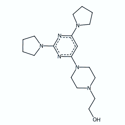 OCCN1CCN(c2cc(N3CCCC3)nc(N3CCCC3)n2)CC1